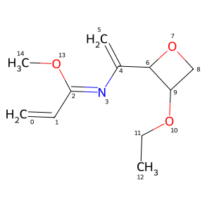 C=C/C(=N/C(=C)C1OCC1OCC)OC